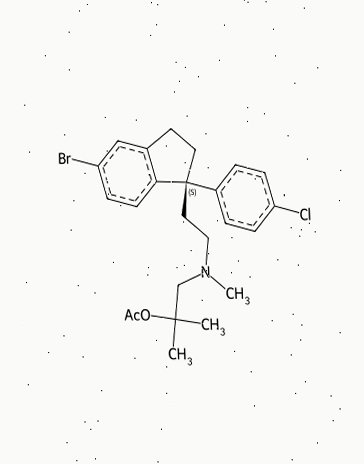 CC(=O)OC(C)(C)CN(C)CC[C@]1(c2ccc(Cl)cc2)CCc2cc(Br)ccc21